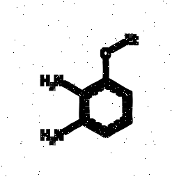 [CH2]COc1cccc(N)c1N